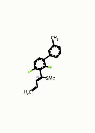 C=C/C=C(\SC)c1c(F)ccc(-c2cccc(C)c2)c1F